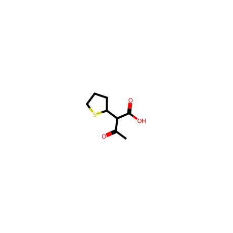 CC(=O)C(C(=O)O)C1CCCS1